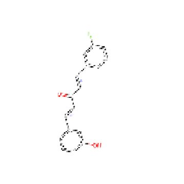 O=C(/C=C/c1cccc(O)c1)/C=C/c1cccc(F)c1